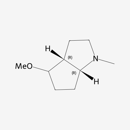 COC1CC[C@@H]2[C@H]1CCN2C